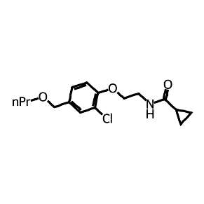 CCCOCc1ccc(OCCNC(=O)C2CC2)c(Cl)c1